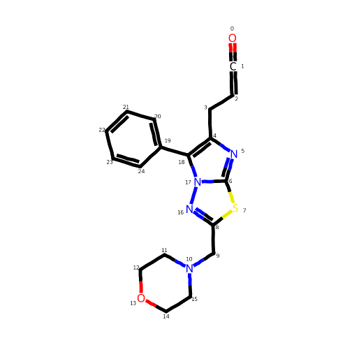 O=C=CCc1nc2sc(CN3CCOCC3)nn2c1-c1ccccc1